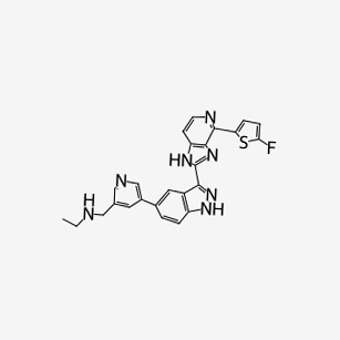 CCNCc1cncc(-c2ccc3[nH]nc(-c4nc5c(-c6ccc(F)s6)nccc5[nH]4)c3c2)c1